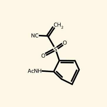 C=C(C#N)S(=O)(=O)c1ccccc1NC(C)=O